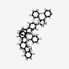 c1ccc(-c2nnn(-c3ccc4c5ccccc5n(-c5ccccc5-n5c6ccccc6c6ccc7c8ccccc8oc7c65)c4c3)c2-c2ccccc2)cc1